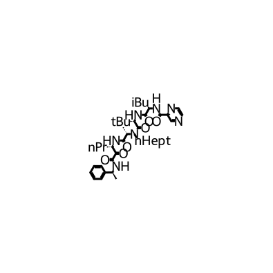 CCCCCCCN(C(=O)[C@@H](NC(=O)[C@@H](NC(=O)c1cnccn1)C(C)CC)C(C)(C)C)[C@@H](C)C(=O)N[C@@H](CCC)C(=O)C(=O)N[C@@H](C)c1ccccc1